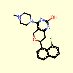 CN1CCN(c2nc(O)nc3c2COC(c2cccc4cccc(Cl)c24)C3)CC1